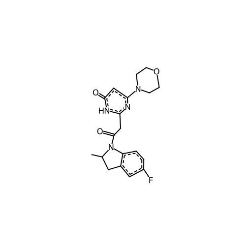 CC1Cc2cc(F)ccc2N1C(=O)Cc1nc(N2CCOCC2)cc(=O)[nH]1